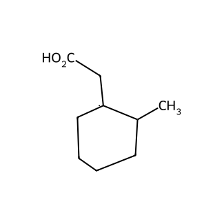 CC1CCCC[C]1CC(=O)O